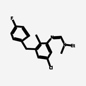 CCN(C)/C=N\c1cc(Cl)cc(Cc2ccc(F)cc2)c1C